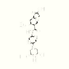 CCOc1cc2nc(C)cn2cc1C(=O)Nc1cnc(N2C[C@@H](C)N[C@@H](C)C2)cn1